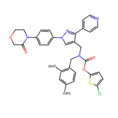 COc1ccc(CN(Cc2cn(-c3ccc(N4CCOCC4=O)cc3)nc2-c2ccncc2)C(=O)Oc2ccc(Cl)s2)c(OC)c1